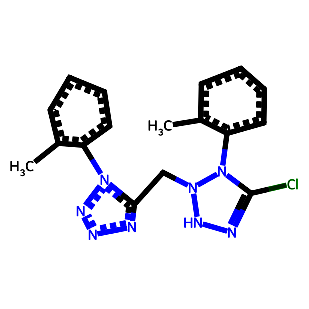 Cc1ccccc1N1C(Cl)=NNN1Cc1nnnn1-c1ccccc1C